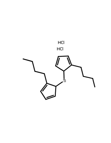 CCCCC1=CC=C[CH]1[Ti][CH]1C=CC=C1CCCC.Cl.Cl